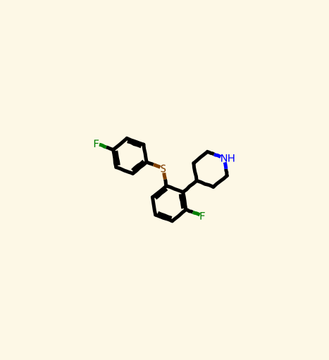 Fc1ccc(Sc2cccc(F)c2C2CCNCC2)cc1